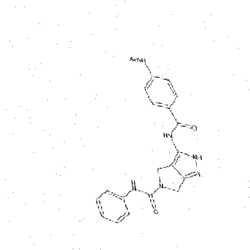 CC(=O)Nc1ccc(C(=O)Nc2[nH]nc3c2CN(C(=O)Nc2ccccc2)C3)cc1